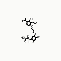 CCCc1c(OCCCOc2cc(NC(=O)C(=O)O)c(C)cc2Br)ccc(C(C)=O)c1O